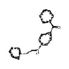 O=C(c1ccccc1)c1ccc(NCCc2ccccc2)cc1